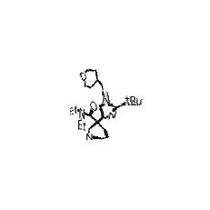 CCN(CC)C(=O)C1(c2cn(CC3CCOCC3)c(C(C)(C)C)n2)C=CC=NC1